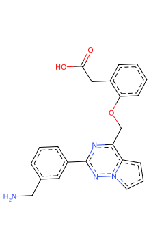 NCc1cccc(-c2nc(COc3ccccc3CC(=O)O)c3cccn3n2)c1